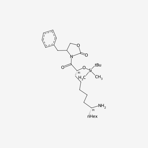 CCCCCC[C@@H](N)CCCCC[C@@H](O[Si](C)(C)C(C)(C)C)C(=O)N1C(=O)OCC1Cc1ccccc1